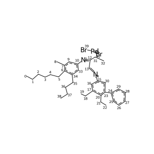 CCCCCCc1c(C)cc(N=C(C=Nc2cc(CC)c(CC)c(-c3ccccc3)c2)CC)cc1CCCC.[Br][Pd][Br]